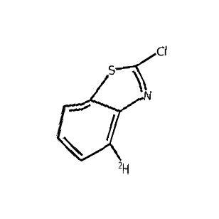 [2H]c1cccc2sc(Cl)nc12